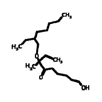 CCCCCC(CC)COC(C)(CC)C(=O)CCCCCO